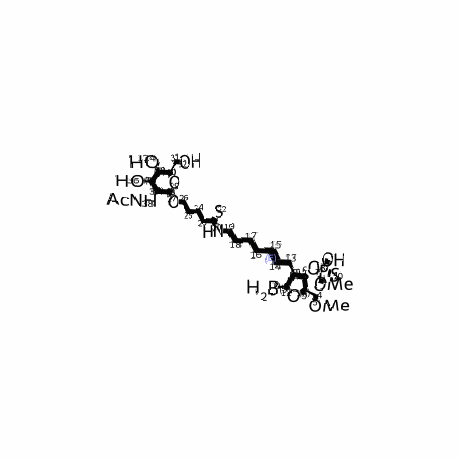 B[C@@H]1O[C@H](COC)C(OP(O)(=S)OC)[C@@H]1C/C=C/CCCCNC(=S)CCCCO[C@@H]1O[C@H](CO)[C@H](O)[C@H](O)[C@H]1NC(C)=O